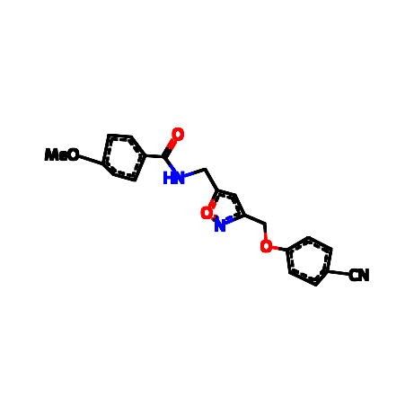 COc1ccc(C(=O)NCc2cc(COc3ccc(C#N)cc3)no2)cc1